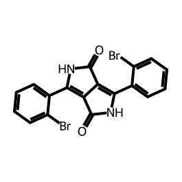 O=C1NC(c2ccccc2Br)=C2C(=O)NC(c3ccccc3Br)=C12